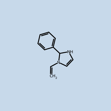 C=CN1C=CNC1c1ccccc1